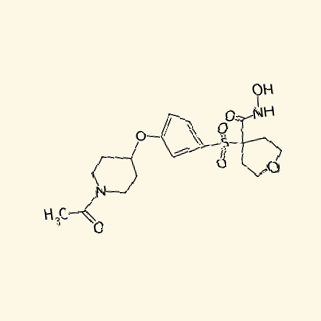 CC(=O)N1CCC(Oc2ccc(S(=O)(=O)C3(C(=O)NO)CCOCC3)cc2)CC1